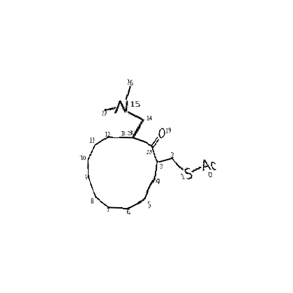 CC(=O)SCC1CCCCCCCCCC(CN(C)C)C1=O